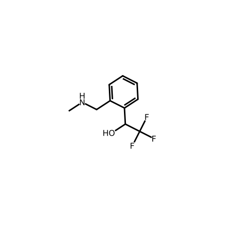 CNCc1ccccc1C(O)C(F)(F)F